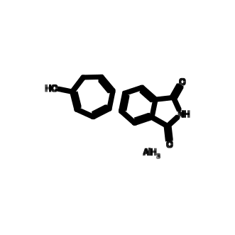 O=C1NC(=O)c2ccccc21.OC1=CC=CC=CC1.[AlH3]